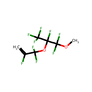 C=C(F)C(F)(F)OC(F)(C(F)(F)F)C(F)(F)OC